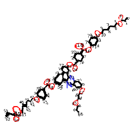 C=CC(=O)OCCCCCCOc1ccc(OC(=O)C2CCC(C(=O)Oc3ccc4c5ccc(OC(=O)c6ccc(OCCCCCCOC(=O)C=C)cc6)cc5c5nc6cc(OCCOCCC)ccc6nc5c4c3)CC2)cc1